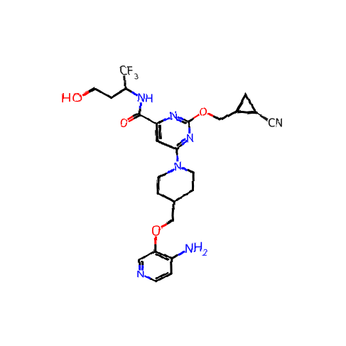 N#C[C@@H]1CC1COc1nc(C(=O)NC(CCO)C(F)(F)F)cc(N2CCC(COc3cnccc3N)CC2)n1